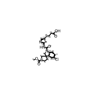 COC(=O)N1CCC2(C1)CN(C(=O)Nc1ncc(SCCC(=O)O)s1)c1ccc(Cl)cc12